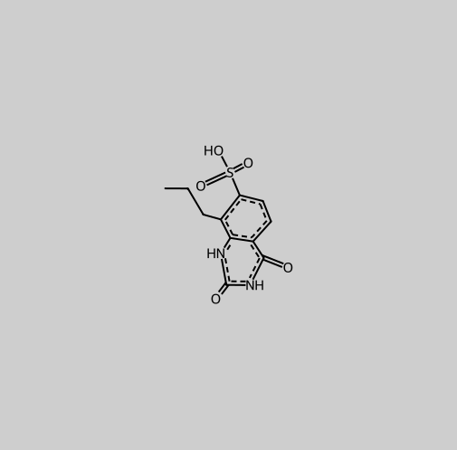 CCCc1c(S(=O)(=O)O)ccc2c(=O)[nH]c(=O)[nH]c12